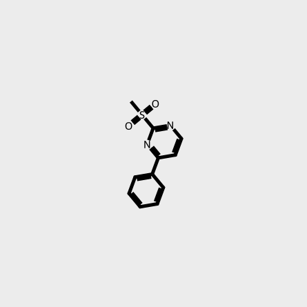 CS(=O)(=O)c1nccc(-c2ccccc2)n1